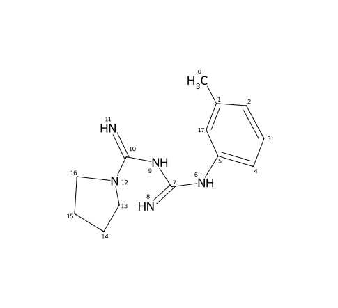 Cc1cccc(NC(=N)NC(=N)N2CCCC2)c1